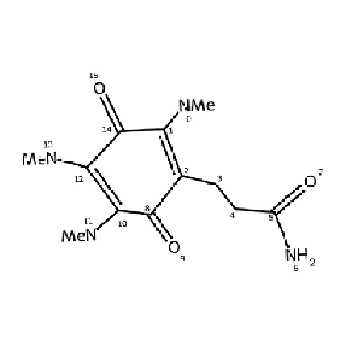 CNC1=C(CCC(N)=O)C(=O)C(NC)=C(NC)C1=O